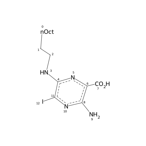 CCCCCCCCCCNc1nc(C(=O)O)c(N)nc1I